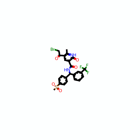 Cc1[nH]c(=O)c(C(=O)NC(c2ccc(S(C)(=O)=O)cc2)c2cccc(C(F)(F)F)c2)cc1C(=O)CBr